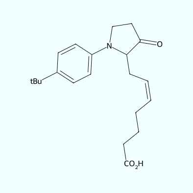 CC(C)(C)c1ccc(N2CCC(=O)C2C/C=C\CCCC(=O)O)cc1